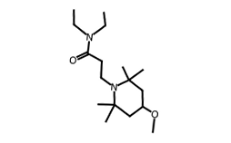 CCN(CC)C(=O)CCN1C(C)(C)CC(OC)CC1(C)C